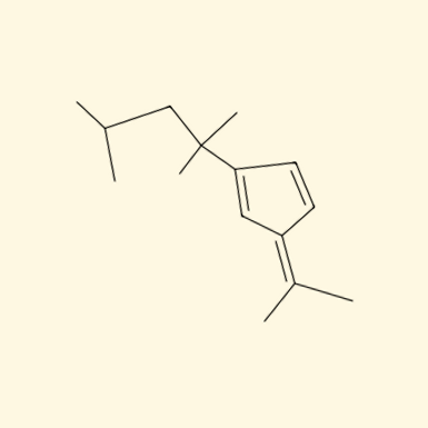 CC(C)=C1C=CC(C(C)(C)CC(C)C)=C1